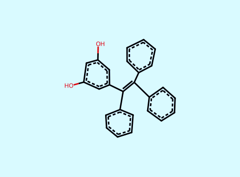 Oc1cc(O)cc(C(=C(c2ccccc2)c2ccccc2)c2ccccc2)c1